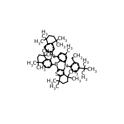 C=Cc1cc(C(C)(C)C)ccc1N1c2cc(C)cc3c2B(c2ccc4c(c2N3c2ccc3c(c2)C(C)(C)CCC3(C)C)C(C)(C)CCC4(C)C)c2sc3c(c21)C(C)(C)CCC3(C)C